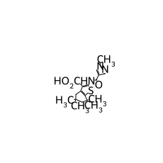 Cn1cc(C(=O)Nc2sc3c(c2C(=O)O)CC(C)(C)CC3(C)C)cn1